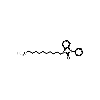 O=C(O)CCCCCCCCCCn1c(=O)n(-c2ccccc2)c2ccccc21